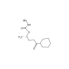 C[C@@H](CCC(=O)C1CCCCC1)OC(=O)NC(C)(C)C